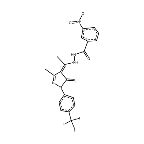 CC1=NN(c2ccc(C(F)(F)F)cc2)C(=O)/C1=C(/C)NNC(=O)c1cccc([N+](=O)[O-])c1